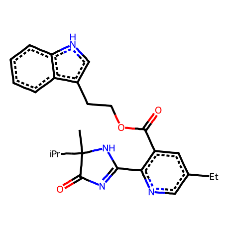 CCc1cnc(C2=NC(=O)C(C)(C(C)C)N2)c(C(=O)OCCc2c[nH]c3ccccc23)c1